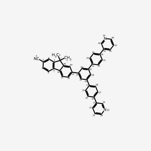 CC1(C)c2cc(C#N)ccc2-c2ccc(-c3cc(-c4ccc(-c5cccnc5)cc4)cc(-c4ccc(-c5cccnc5)cc4)c3)cc21